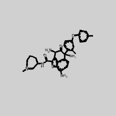 Cc1ccc(Oc2ccc(C3(N)C(=O)C(N)c4c(C(=O)NC5CCCN(C)C5)sc5c(N)ccc3c45)c(C)c2)cc1